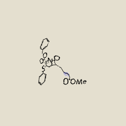 COC(=O)/C=C/CC1C(=O)N2C1CC(Sc1ccccc1)[C@@H]2C(=O)OCc1ccccc1